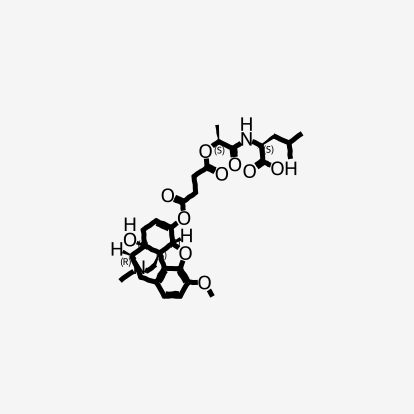 COc1ccc2c3c1O[C@H]1C(OC(=O)CCC(=O)O[C@@H](C)C(=O)N[C@@H](CC(C)C)C(=O)O)=CC[C@@]4(O)[C@@H](C2)N(C)CC[C@]314